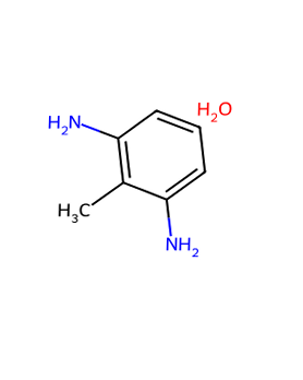 Cc1c(N)cccc1N.O